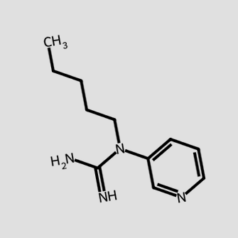 CCCCCN(C(=N)N)c1cccnc1